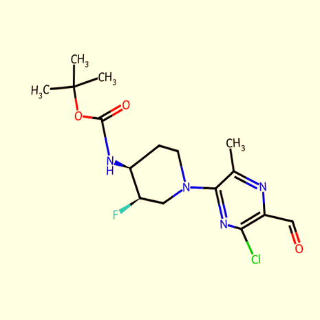 Cc1nc(C=O)c(Cl)nc1N1CC[C@H](NC(=O)OC(C)(C)C)[C@H](F)C1